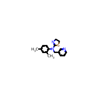 Cc1ccc(N(Cc2cccnc2)C2=NCCS2)c(C)c1